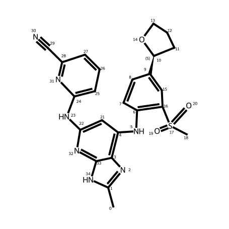 Cc1nc2c(Nc3ccc([C@@H]4CCCO4)cc3S(C)(=O)=O)cc(Nc3cccc(C#N)n3)nc2[nH]1